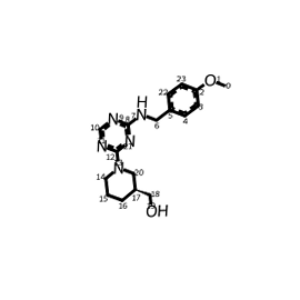 COc1ccc(CNc2ncnc(N3CCC[C@H](CO)C3)n2)cc1